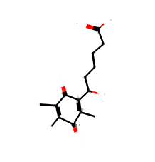 CC1=C(C)C(=O)C(C(O)CCCCC(=O)O)=C(C)C1=O